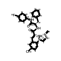 C=N/N=C\N(N)c1ccc(Cl)cc1/C=C/C(=O)N[C@@H](Cc1ccccc1)C(=O)Nc1ccc(F)cc1